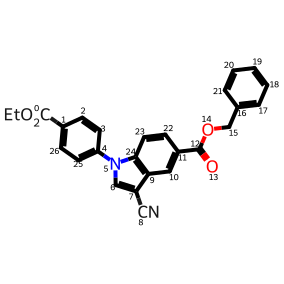 CCOC(=O)c1ccc(-n2cc(C#N)c3cc(C(=O)OCc4ccccc4)ccc32)cc1